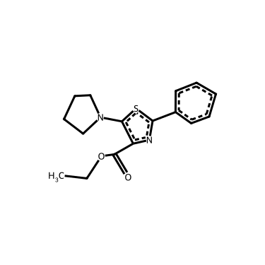 CCOC(=O)c1nc(-c2ccccc2)sc1N1CCCC1